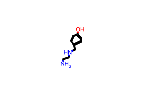 NCCNCc1ccc(O)cc1